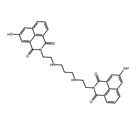 O=C1c2cccc3cc(O)cc(c23)C(=O)N1CCNCCCNCCN1C(=O)c2cccc3cc(O)cc(c23)C1=O